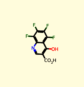 O=C(O)c1cnc2c(F)c(F)c(F)c(F)c2c1O